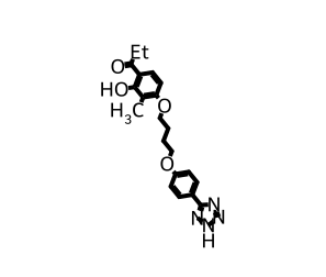 CCC(=O)c1ccc(OCCCCOc2ccc(-c3nn[nH]n3)cc2)c(C)c1O